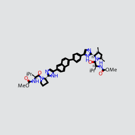 COC(=O)N[C@H](C(=O)N1CCC[C@H]1c1ncc(-c2ccc3cc(-c4ccc(-c5cnc([C@@H]6[C@@H](C)C[C@@H](C)N6C(=O)[C@@H](NC(=O)OC)C(C)C)[nH]5)cc4)ccc3c2)[nH]1)C(C)C